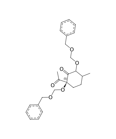 CC(=O)[C@@]1(OCOCc2ccccc2)CCC(C)C(OCOCc2ccccc2)C1=O